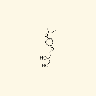 CCC(C)Oc1ccc(OCCC(O)CO)cc1